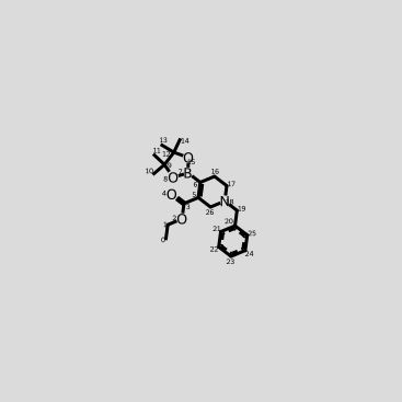 CCOC(=O)C1=C(B2OC(C)(C)C(C)(C)O2)CCN(Cc2ccccc2)C1